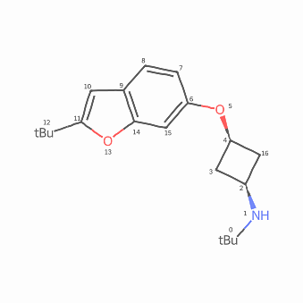 CC(C)(C)N[C@H]1C[C@@H](Oc2ccc3cc(C(C)(C)C)oc3c2)C1